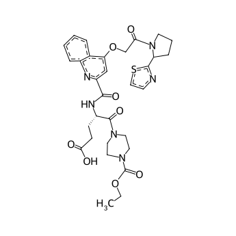 CCOC(=O)N1CCN(C(=O)[C@H](CCC(=O)O)NC(=O)c2cc(OCC(=O)N3CCCC3c3nccs3)c3ccccc3n2)CC1